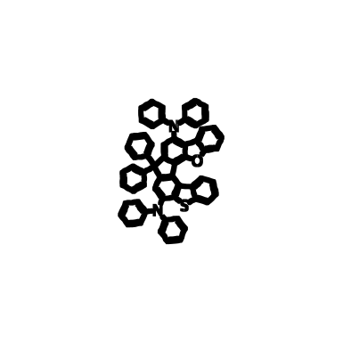 c1ccc(N(c2ccccc2)c2cc3c(c4c2sc2ccccc24)-c2c(cc(N(c4ccccc4)c4ccccc4)c4c2oc2ccccc24)C3(c2ccccc2)c2ccccc2)cc1